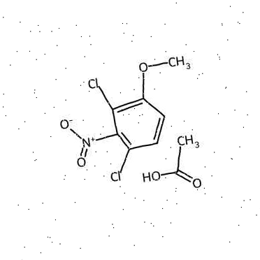 CC(=O)O.COc1ccc(Cl)c([N+](=O)[O-])c1Cl